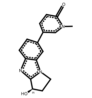 Cn1cc(-c2ccc3nc4n(c3c2)CC[C@H]4O)ccc1=O